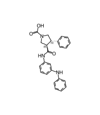 O=C(Nc1cccc(Nc2ccccc2)c1)[C@H]1CN(C(=O)O)C[C@@H]1c1ccccc1